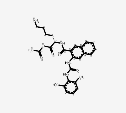 Cc1cccc(C)c1NC(=O)Nc1cc2ccccc2cc1C(=O)N[C@@H](CCCCN)C(=O)OC(=O)C(F)(F)F